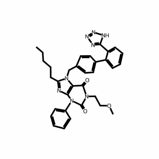 CCCCCc1nc2c(c(=O)n(CCOC)c(=O)n2-c2ccccc2)n1Cc1ccc(-c2ccccc2-c2nnn[nH]2)cc1